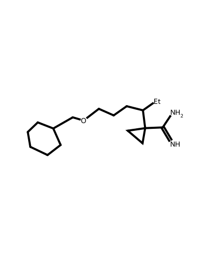 CCC(CCCOCC1CCCCC1)C1(C(=N)N)CC1